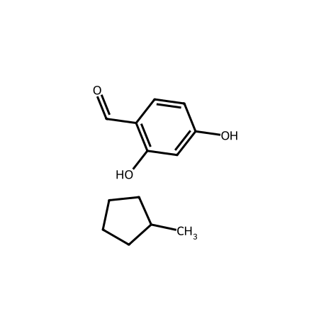 CC1CCCC1.O=Cc1ccc(O)cc1O